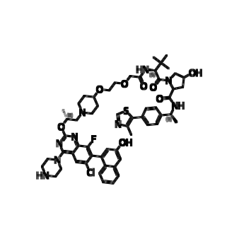 Cc1ncsc1-c1ccc([C@H](C)NC(=O)C2CC(O)CN2C(=O)[C@@H](NC(=O)COCCOC2CCN(C[C@@H](C)Oc3nc(N4CCNCC4)c4cc(Cl)c(-c5cc(O)cc6ccccc56)c(F)c4n3)CC2)C(C)(C)C)cc1